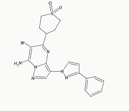 Nc1c(Br)c(C2CCS(=O)(=O)CC2)nc2c(-n3ccc(-c4ccccc4)n3)cnn12